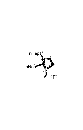 CCCCCCCCCc1n(CCCCCCC)cc[n+]1CCCCCCC